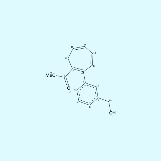 COC(=O)C1=C(c2cccc(CO)c2)C=CC=CC1